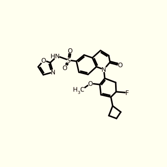 COC1=C(n2c(=O)ccc3cc(S(=O)(=O)Nc4ncco4)ccc32)CC(F)C(C2CCC2)=C1